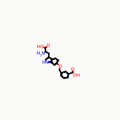 N[C@@H](Cc1c[nH]c2cc(OCc3cccc(C(=O)O)c3)ccc12)C(=O)O